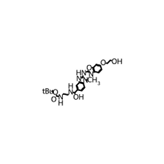 Cn1c(Nc2nc3ccc(OCCO)cc3o2)nc2cc(C(O)NCCNC(=O)OC(C)(C)C)ccc21